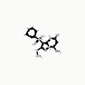 CSc1nn2c(N)cc(Cl)nc2c1S(=O)(=O)c1ccccc1